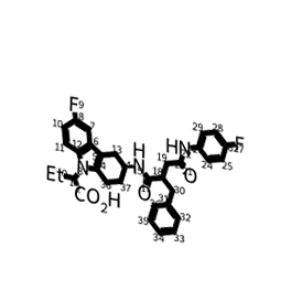 CCC(C(=O)O)n1c2c(c3cc(F)ccc31)C[C@@H](NC(=O)C(CC(=O)Nc1ccc(F)cc1)Cc1ccccc1)CC2